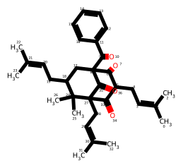 CC(C)=CCC1C(=O)C2(C(=O)c3ccccc3)CC(CC=C(C)C)C(C)(C)C(CC=C(C)C)(C1=O)C2=O